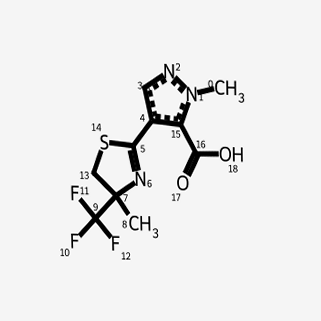 Cn1ncc(C2=NC(C)(C(F)(F)F)CS2)c1C(=O)O